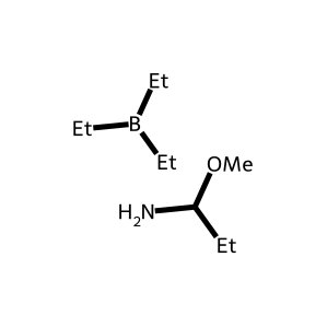 CCB(CC)CC.CCC(N)OC